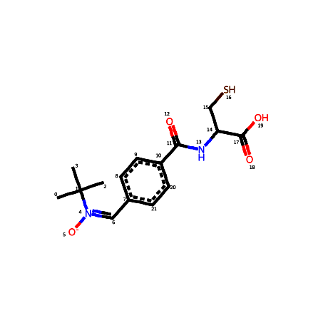 CC(C)(C)/[N+]([O-])=C\c1ccc(C(=O)NC(CS)C(=O)O)cc1